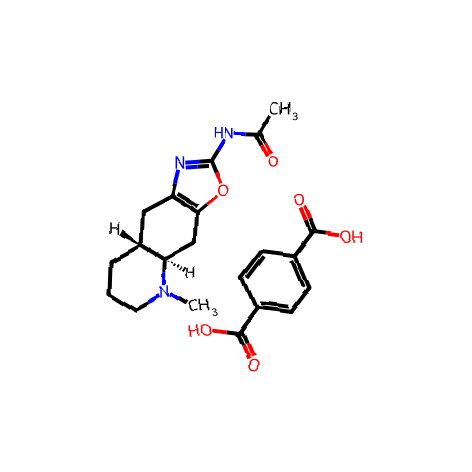 CC(=O)Nc1nc2c(o1)C[C@@H]1[C@H](CCCN1C)C2.O=C(O)c1ccc(C(=O)O)cc1